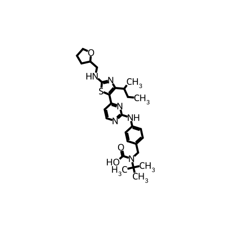 CCC(C)c1nc(NCC2CCCO2)sc1-c1ccnc(Nc2ccc(CN(C(=O)O)C(C)(C)C)cc2)n1